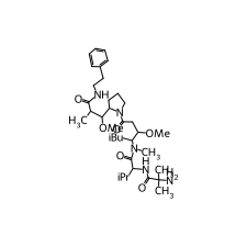 CCC(C)C(C(CC(=O)N1CCCC1C(OC)C(C)C(=O)NCCc1ccccc1)OC)N(C)C(=O)C(NC(=O)C(C)(C)N)C(C)C